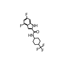 O=C(NC1CCC(C(F)(F)F)CC1)c1cc2c(F)cc(F)cc2[nH]1